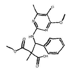 COC(=O)C(C)(C(=O)O)C(Nc1nc(C)c(Cl)c(OC)n1)c1ccccc1